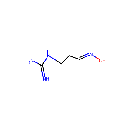 N=C(N)NCCC=NO